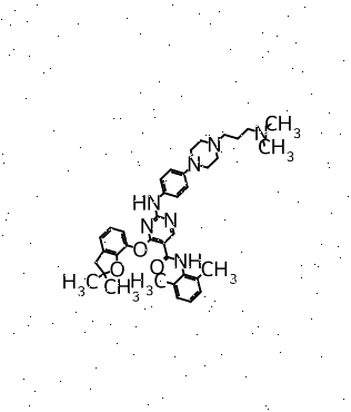 Cc1cccc(C)c1NC(=O)c1cnc(Nc2ccc(N3CCN(CCCN(C)C)CC3)cc2)nc1Oc1cccc2c1OC(C)(C)C2